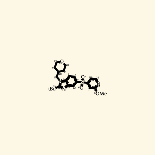 COc1cc(S(=O)(=O)c2ccc3c(c2)nc(C(C)(C)C)n3CC2CCOCC2)ccn1